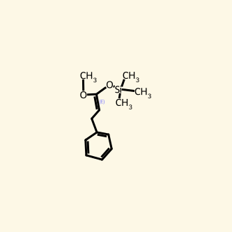 CO/C(=C\Cc1ccccc1)O[Si](C)(C)C